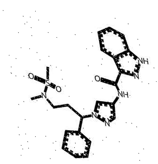 CN(CCC(c1ccccc1)n1cc(NC(=O)c2n[nH]c3ccccc23)cn1)S(C)(=O)=O